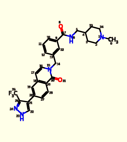 CN1CCC(CNC(=O)c2cccc(Cn3ccc4cc(-c5c[nH]nc5C(F)(F)F)ccc4c3=O)c2)CC1